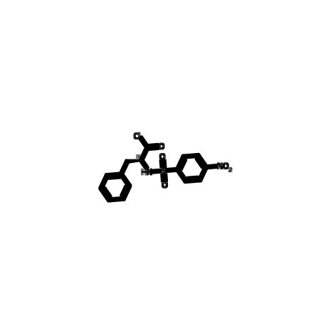 O=C(Cl)[C@H](Cc1ccccc1)NS(=O)(=O)c1ccc([N+](=O)[O-])cc1